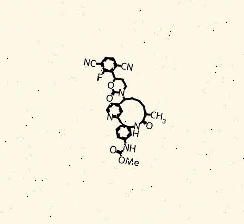 COC(=O)Nc1ccc2c(c1)NC(=O)C(C)CCCC(N1CCC(c3c(C#N)ccc(C#N)c3F)OC1=O)c1ccnc-2c1